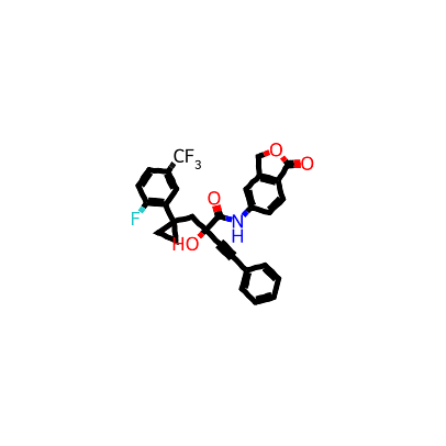 O=C1OCc2cc(NC(=O)C(O)(C#Cc3ccccc3)CC3(c4cc(C(F)(F)F)ccc4F)CC3)ccc21